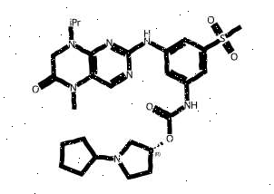 CC(C)N1CC(=O)N(C)c2cnc(Nc3cc(NC(=O)O[C@@H]4CCN(C5CCCC5)C4)cc(S(C)(=O)=O)c3)nc21